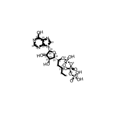 CCCCC(OP(=O)(O)OP(=O)(O)OP(=O)(O)O)[C@H]1O[C@@H](n2cnc3c(O)ncnc32)[C@H](O)[C@@H]1O